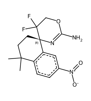 CC1(C)CC[C@@]2(N=C(N)OCC2(F)F)c2cc([N+](=O)[O-])ccc21